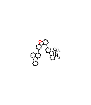 CC1(C)c2ccccc2-c2ccc(-c3cccc4oc5ccc(-c6ccc7c8c(cccc68)-c6ccccc6-7)cc5c34)cc21